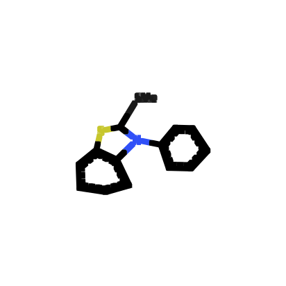 CSC1Sc2ccccc2N1c1ccccc1